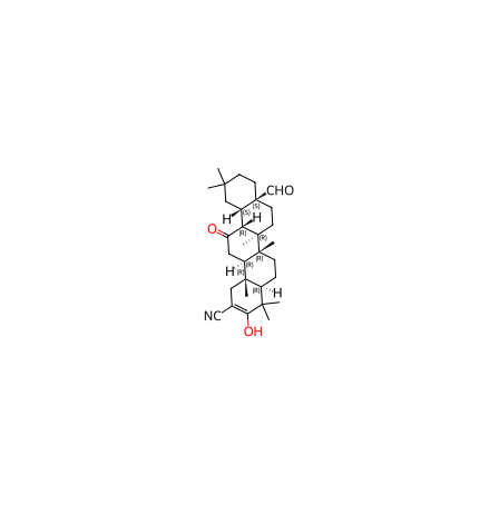 CC1(C)CC[C@]2(C=O)CC[C@]3(C)[C@H](C(=O)C[C@@H]4[C@@]5(C)CC(C#N)=C(O)C(C)(C)[C@@H]5CC[C@]43C)[C@@H]2C1